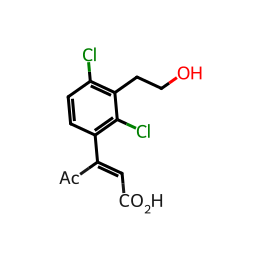 CC(=O)C(=CC(=O)O)c1ccc(Cl)c(CCO)c1Cl